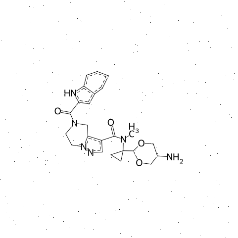 CN(C(=O)c1cnn2c1CN(C(=O)c1cc3ccccc3[nH]1)CC2)C1(C2OCC(N)CO2)CC1